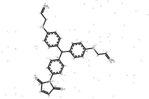 C=CCOc1ccc(C(c2ccc(OCC=C)cc2)c2ccc(N3C(=O)C=CC3=O)cc2)cc1